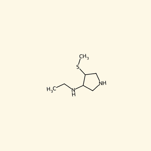 CCNC1CNCC1SC